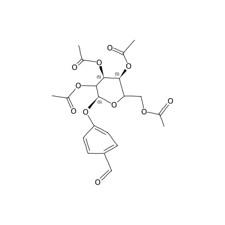 CC(=O)OCC1O[C@@H](Oc2ccc(C=O)cc2)C(OC(C)=O)[C@@H](OC(C)=O)[C@H]1OC(C)=O